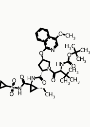 CC[C@@H]1C[C@]1(NC(=O)[C@@H]1C[C@@H](Oc2ncc(OC)c3ccccc23)CN1C(=O)[C@@H](NC(=O)OC(C)(C)C)C(C)(C)C)C(=O)NS(=O)(=O)C1CC1